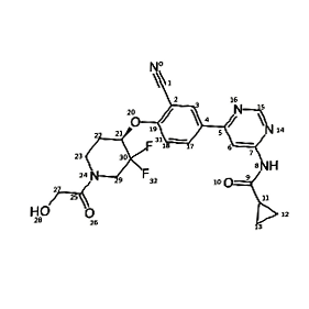 N#Cc1cc(-c2cc(NC(=O)C3CC3)ncn2)ccc1O[C@@H]1CCN(C(=O)CO)CC1(F)F